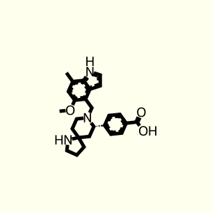 COc1cc(C)c2[nH]ccc2c1CN1CCC2(CCCN2)C[C@H]1c1ccc(C(=O)O)cc1